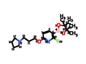 CC1(C)OB(c2ccc(OCCCN3CCCC3)nc2F)OC1(C)C